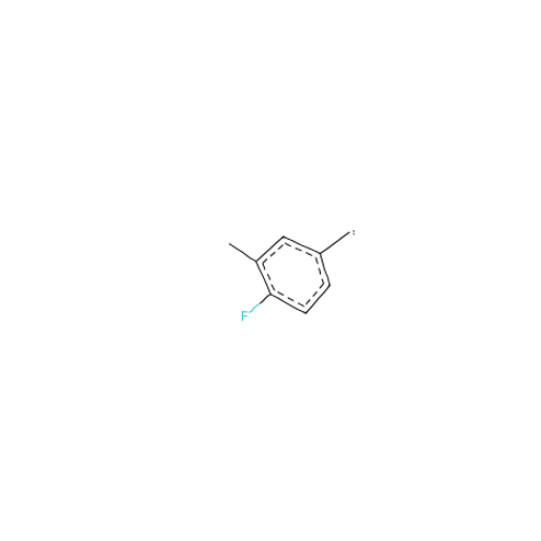 [CH]c1ccc(F)c(C)c1